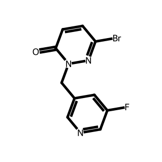 O=c1ccc(Br)nn1Cc1cncc(F)c1